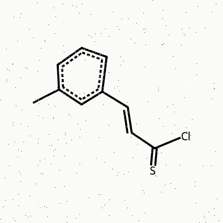 Cc1cccc(C=CC(=S)Cl)c1